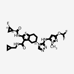 Cn1nc(OC(F)F)cc1Nc1nncn1[C@H]1CCc2sc(NC(=O)[C@H]3C[C@@H]3F)c(C(=O)NCC3CC3)c2C1